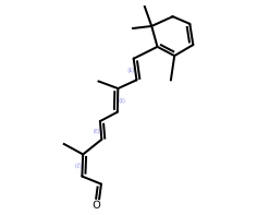 CC1=C(/C=C/C(C)=C/C=C/C(C)=C\C=O)C(C)(C)CC=C1